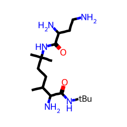 CC(CCC(C)(C)NC(=O)C(N)CCN)C(N)C(=O)NC(C)(C)C